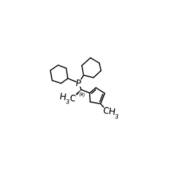 CC1=CC=C([C@@H](C)P(C2CCCCC2)C2CCCCC2)C1